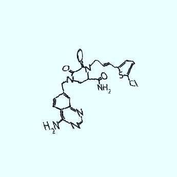 NC(=O)C1CN(Cc2ccc3c(N)ncnc3c2)C(=O)C(=O)N1C/C=C/c1ccc(Cl)s1